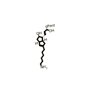 CCCCC[C@H](O)/C=C/[C@@H]1[C@H]2CC(CCCCCCN)=C[C@H]2C[C@H]1O